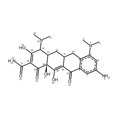 CN(C)c1cc(N)cc2c1CC1CC3C(N(C)C)C(O)=C(C(N)=O)C(=O)[C@@]3(O)C(O)=C1C2=O